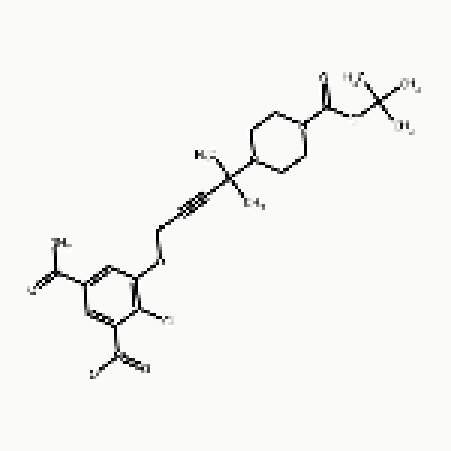 CC(C)(C)OC(=O)N1CCN(C(C)(C)C#CCOc2cc(C(N)=O)cc([N+](=O)[O-])c2Cl)CC1